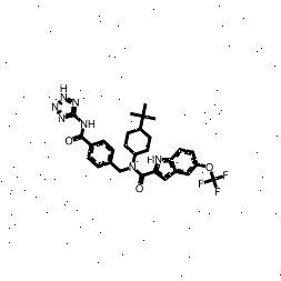 CC(C)(C)C1CCC(N(Cc2ccc(C(=O)Nc3nn[nH]n3)cc2)C(=O)c2cc3cc(OC(F)(F)F)ccc3[nH]2)CC1